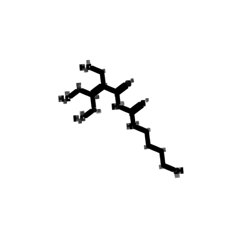 CCC(C(=O)NC(=S)NCCCCO)=C(SC)SC